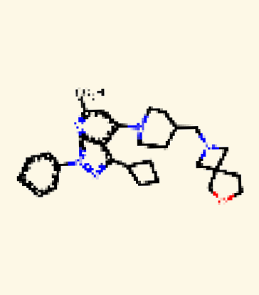 O=C(O)c1cc(N2CCC(CN3CC4(CCOC4)C3)CC2)c2c(C3CCC3)nn(-c3ccccc3)c2n1